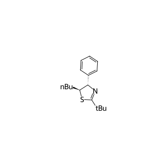 CCCC[C@@H]1SC(C(C)(C)C)=N[C@H]1c1ccccc1